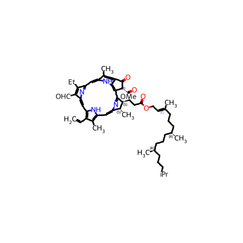 C=Cc1c(C)c2cc3nc(c4c5[nH]c(cc6nc(cc1[nH]2)C(C=O)=C6CC)c(C)c5C(=O)[C@@H]4C(=O)OC)[C@@H](CCC(=O)OC/C=C(\C)CCC[C@H](C)CCC[C@H](C)CCCC(C)C)[C@@H]3C